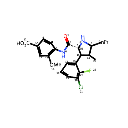 CCCC1N[C@@H](C(=O)Nc2ccc(C(=O)O)cc2OC)C(c2cccc(Cl)c2F)C1C